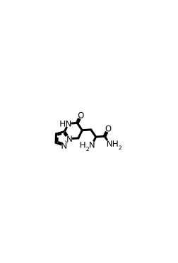 NC(=O)C(N)CC1Cn2nccc2NC1=O